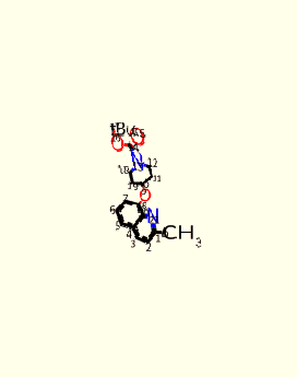 Cc1ccc2cccc(OC3CCN(C(=O)OC(C)(C)C)CC3)c2n1